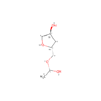 CC(O)OC[C@H]1C[C@H](O)CO1